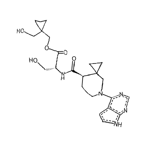 O=C(OCC1(CO)CC1)[C@@H](CO)NC(=O)[C@@H]1CCN(c2ncnc3[nH]ccc23)CC12CC2